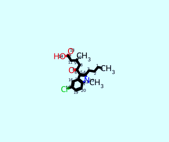 CCCCc1c(C(=O)CC(C)CC(=O)O)c2cc(Cl)ccc2n1C